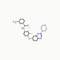 O=C(Nc1ccc(Oc2ccc3ncc(N4CCOCC4)nc3c2)c(F)c1F)c1cccc(C(F)(F)F)c1